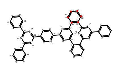 c1ccc(-c2cc(-c3ccccc3-c3cc(-c4ccccn4)nc(-c4ccc(-c5nc(-c6ccccc6)nc(-c6ccccc6)n5)cn4)c3)nc(-c3ccccc3)n2)cc1